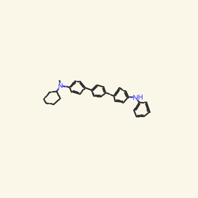 CN(c1ccc(-c2ccc(-c3ccc(Nc4ccccc4)cc3)cc2)cc1)C1CCCCC1